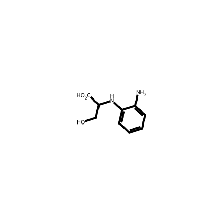 Nc1ccccc1NC(CO)C(=O)O